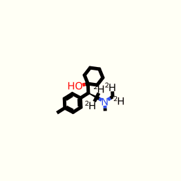 [2H]C([2H])N(C)C([2H])([2H])[C@@H](c1ccc(C)cc1)C1(O)CCCCC1